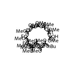 CCCCOCC(COC)(COC)COCC(COC)(COC)COCC(COC)(COC)COCC(COC)(COC)COCC(CC)(COC)COCC(CC)(COC)COCC(CC)(COC)COCC(CC)(COC)COCC(CC)(COC)COCC(CC)(COC)COCC(CC)(COC)COCC(CC)(CO)COC